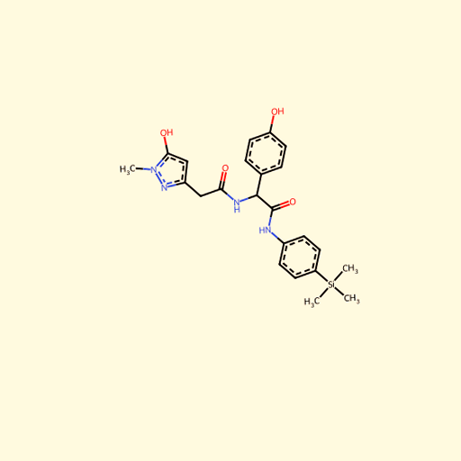 Cn1nc(CC(=O)NC(C(=O)Nc2ccc([Si](C)(C)C)cc2)c2ccc(O)cc2)cc1O